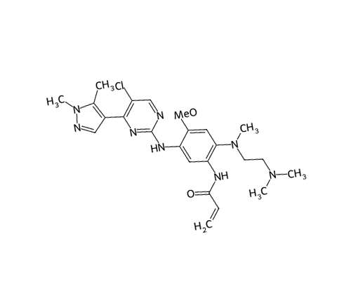 C=CC(=O)Nc1cc(Nc2ncc(Cl)c(-c3cnn(C)c3C)n2)c(OC)cc1N(C)CCN(C)C